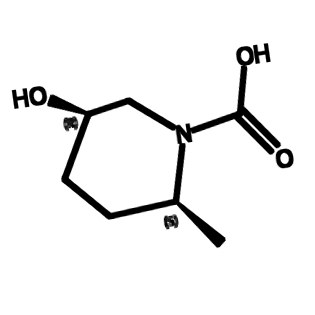 C[C@H]1CC[C@@H](O)CN1C(=O)O